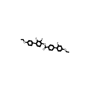 CCOc1ccc(-c2ccc(OC(=O)c3ccc(-c4ccc(OCC)cc4F)cc3)c(F)c2F)cc1